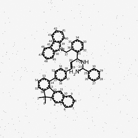 CC1(C)c2cc3ccccc3cc2-c2c(-c3ccc(/C=C/C(NC(N)c4ccccc4)c4ccccc4Cn4c5ccccc5c5ccccc54)cc3)cccc21